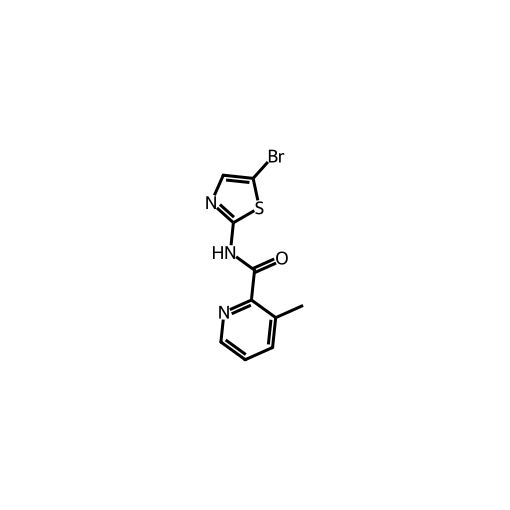 Cc1cccnc1C(=O)Nc1ncc(Br)s1